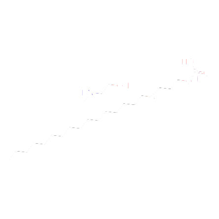 CCCCCCCCCCCCCCCCSCCCO[PH](=O)O.CNCCO